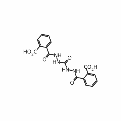 O=C(NNC(=O)c1ccccc1C(=O)O)NNC(=O)c1ccccc1C(=O)O